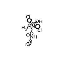 C[C@H](CCOC(=O)NCCn1ccnc1)N(c1cc(Cl)ccc1CO)S(=O)(=O)c1ccc(Cl)cc1